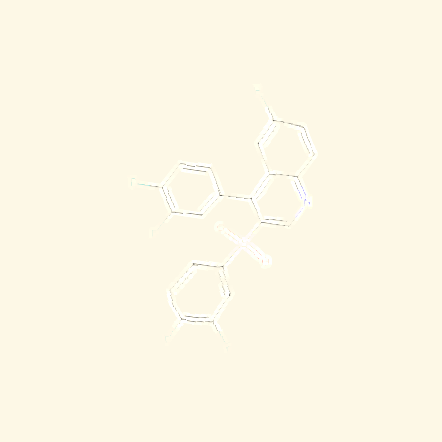 O=S(=O)(c1ccc(F)c(F)c1)c1cnc2ccc(F)cc2c1-c1ccc(F)c(F)c1